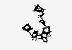 N=C(c1ccc(Oc2ccccc2)cc1)c1c(N)ncnc1NC1CCN(C2CN(C(=O)CC34CC5CC(CC3C5)C4)C2)CC1